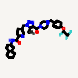 Cc1c(C(=O)N2CCN(Cc3ccc(OC(F)C(F)F)cc3)CC2)nnn1Cc1ccc(C(=O)Nc2ccc3ccccc3c2)nc1